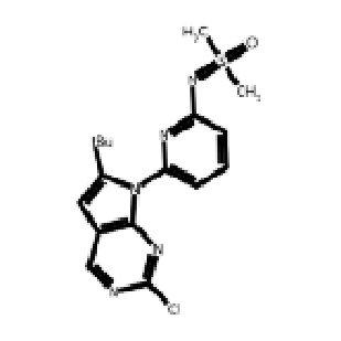 CC(C)(C)c1cc2cnc(Cl)nc2n1-c1cccc(N=S(C)(C)=O)n1